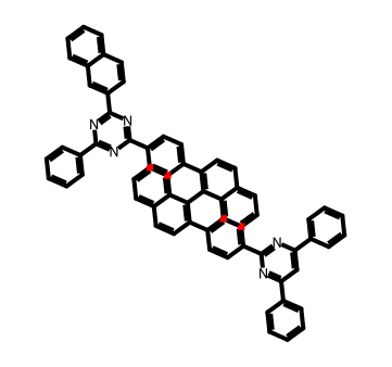 c1ccc(-c2cc(-c3ccccc3)nc(-c3ccc(-c4ccc5ccccc5c4-c4c(-c5ccc(-c6nc(-c7ccccc7)nc(-c7ccc8ccccc8c7)n6)cc5)ccc5ccccc45)cc3)n2)cc1